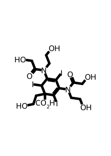 O=C(CO)N(CCO)C1=C(I)C(CCO)(C(=O)O)C(I)C(N(CCO)C(=O)CO)=C1I